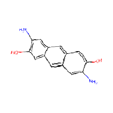 Nc1cc2cc3cc(O)c(N)cc3cc2cc1O